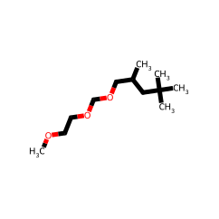 COCCOCOCC(C)CC(C)(C)C